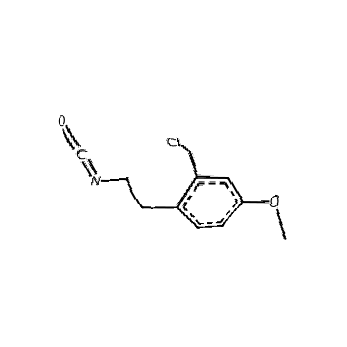 COc1ccc(CCN=C=O)c(Cl)c1